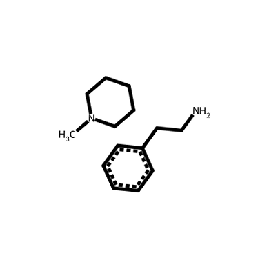 CN1CCCCC1.NCCc1ccccc1